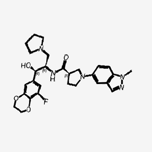 Cn1ncc2cc(N3CC[C@@H](C(=O)N[C@H](CN4CCCC4)[C@H](O)c4cc(F)c5c(c4)OCCO5)C3)ccc21